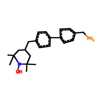 CC1(C)CC(Cc2ccc(-c3ccc(CP)cc3)cc2)CC(C)(C)N1O